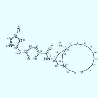 O=C(N[C@@H]1C[C@H]2CCCCCCCCCCCN(CC2)C1)c1ccc(Sc2ncc(Cl)o2)cc1